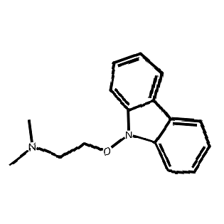 CN(C)CCOn1c2ccccc2c2ccccc21